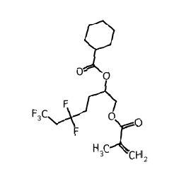 C=C(C)C(=O)OCC(CCC(F)(F)CC(F)(F)F)OC(=O)C1CCCCC1